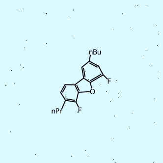 CCCCc1cc(F)c2oc3c(F)c(CCC)ccc3c2c1